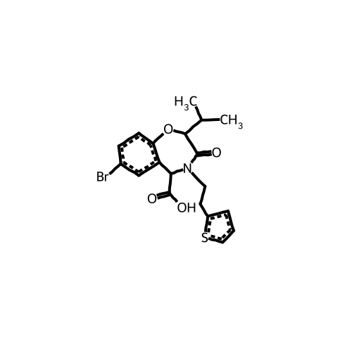 CC(C)C1Oc2ccc(Br)cc2C(C(=O)O)N(CCc2cccs2)C1=O